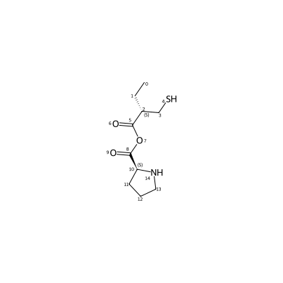 CC[C@H](CS)C(=O)OC(=O)[C@@H]1CCCN1